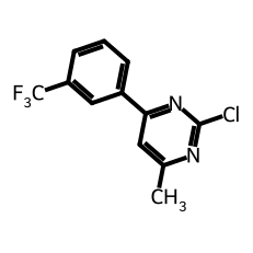 Cc1cc(-c2cccc(C(F)(F)F)c2)nc(Cl)n1